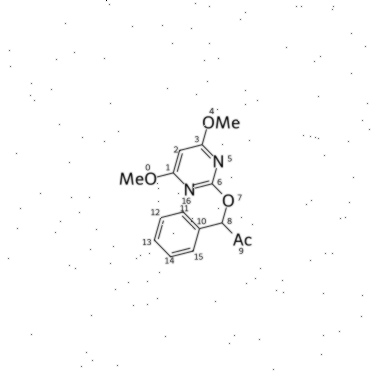 COc1cc(OC)nc(OC(C(C)=O)c2ccccc2)n1